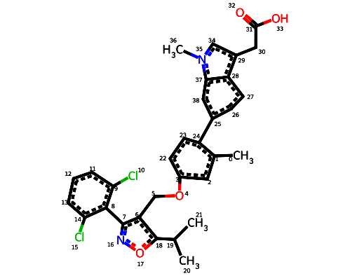 Cc1cc(OCc2c(-c3c(Cl)cccc3Cl)noc2C(C)C)ccc1-c1ccc2c(CC(=O)O)cn(C)c2c1